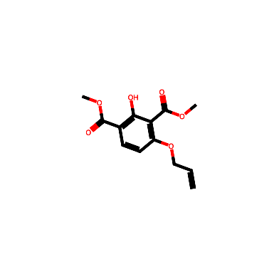 C=CCOc1ccc(C(=O)OC)c(O)c1C(=O)OC